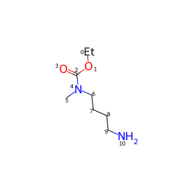 CCOC(=O)N(C)CCCCN